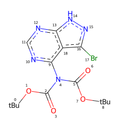 CC(C)(C)OC(=O)N(C(=O)OC(C)(C)C)c1ncnc2[nH]nc(Br)c12